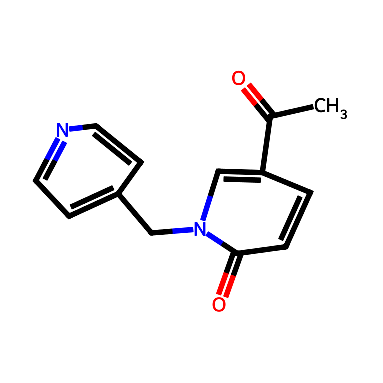 CC(=O)c1ccc(=O)n(Cc2ccncc2)c1